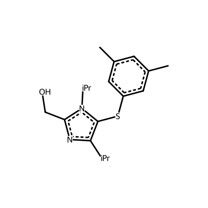 Cc1cc(C)cc(Sc2c(C(C)C)nc(CO)n2C(C)C)c1